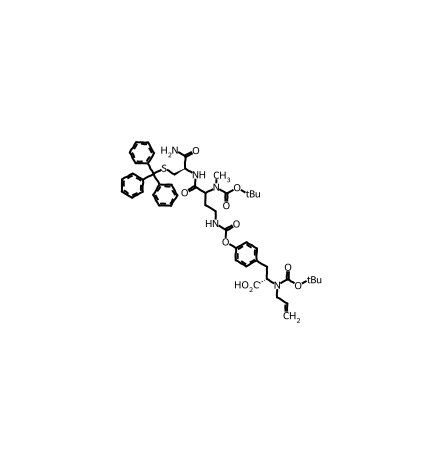 C=CCN(C(=O)OC(C)(C)C)[C@@H](Cc1ccc(OC(=O)NCCC(C(=O)N[C@@H](CSC(c2ccccc2)(c2ccccc2)c2ccccc2)C(N)=O)N(C)C(=O)OC(C)(C)C)cc1)C(=O)O